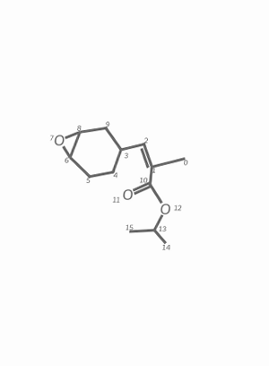 CC(=CC1CCC2OC2C1)C(=O)OC(C)C